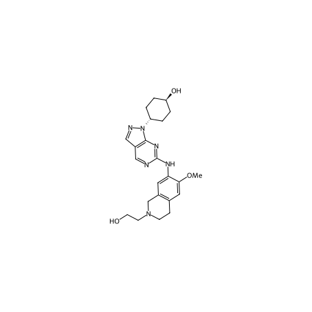 COc1cc2c(cc1Nc1ncc3cnn([C@H]4CC[C@H](O)CC4)c3n1)CN(CCO)CC2